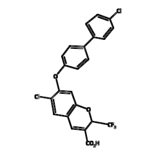 O=C(O)C1=Cc2cc(Cl)c(Oc3ccc(-c4ccc(Cl)cc4)cc3)cc2OC1C(F)(F)F